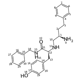 N[C@H](CCc1ccccc1)CN[C@@H](Cc1ccc(O)cc1)C(=O)NCc1cc[c]cc1